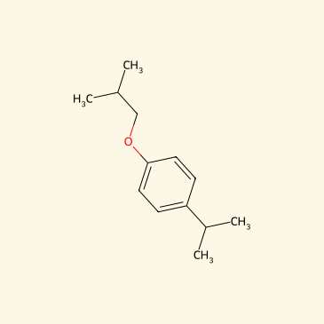 CC(C)COc1ccc(C(C)C)cc1